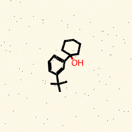 CC(C)(C)c1cccc(C2(O)CCCCC2)c1